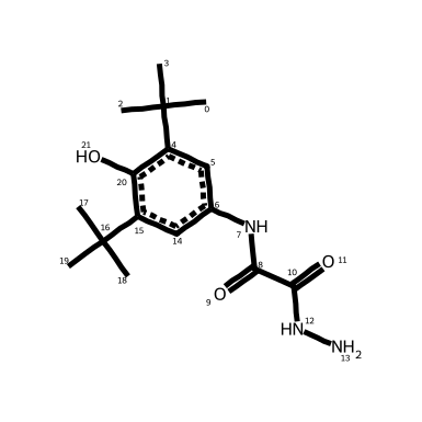 CC(C)(C)c1cc(NC(=O)C(=O)NN)cc(C(C)(C)C)c1O